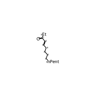 CCCCCCCCCC=CC(=O)CC